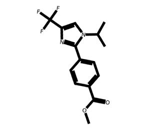 COC(=O)c1ccc(-c2nc(C(F)(F)F)cn2C(C)C)cc1